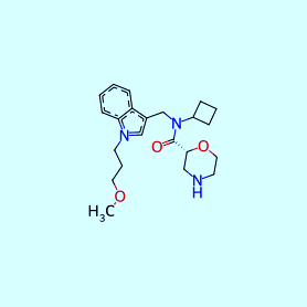 COCCCn1cc(CN(C(=O)[C@H]2CNCCO2)C2CCC2)c2ccccc21